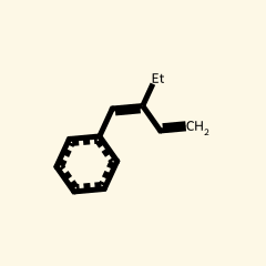 C=CC(=Cc1ccccc1)CC